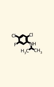 CC(C)Nc1cc(F)c(Cl)cc1Cl